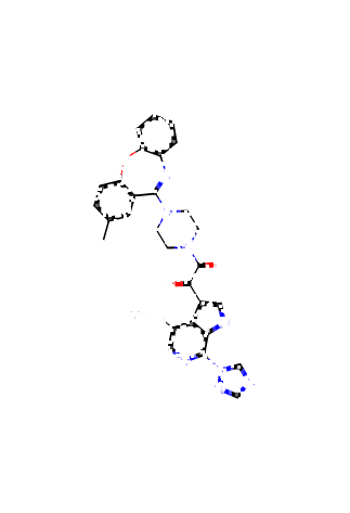 COc1cnc(-n2cncn2)c2[nH]cc(C(=O)C(=O)N3CCN(C4=Nc5ccccc5Oc5ccc(C)cc54)CC3)c12